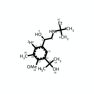 [2H]c1c([C@@H](O)CNC(C)(C)CC)cc(C(C)(C)O)c(OC)c1C